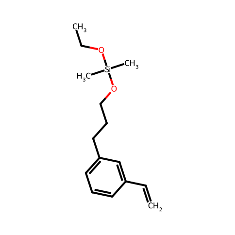 C=Cc1cccc(CCCO[Si](C)(C)OCC)c1